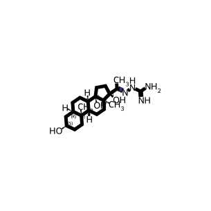 C/C(=N\NC(=N)N)[C@@]1(O)CC[C@]2(O)[C@@H]3CC[C@@H]4C[C@@H](O)CC[C@]4(C)[C@H]3CC[C@]12C